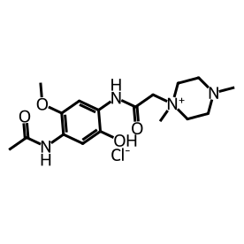 COc1cc(NC(=O)C[N+]2(C)CCN(C)CC2)c(O)cc1NC(C)=O.[Cl-]